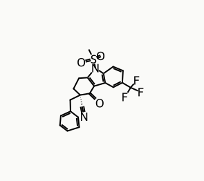 CS(=O)(=O)n1c2c(c3cc(C(F)(F)F)ccc31)C(=O)[C@@](C#N)(Cc1ccccc1)CC2